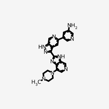 CN1CCN(c2cncc3[nH]c(-c4n[nH]c5cnc(-c6cncc(N)c6)cc45)nc23)CC1